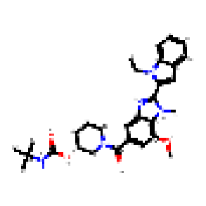 CCn1c(-c2nc3cc(C(=O)N4CCC[C@@H](OC(=O)NC(C)(C)C)C4)cc(OC)c3n2C)cc2ccccc21